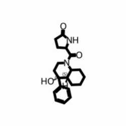 O=C1CCC(C(=O)N2CC[C@](O)(c3ccccc3)[C@H]3CCCCC32)N1